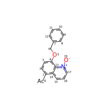 CC(=O)c1ccc(OCc2ccccc2)c2c1ccc[n+]2[O-]